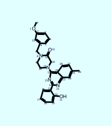 COc1cccc(CN2CCN(c3nc(-c4ccccc4O)nc4cc(C)ccc34)CC2=O)c1